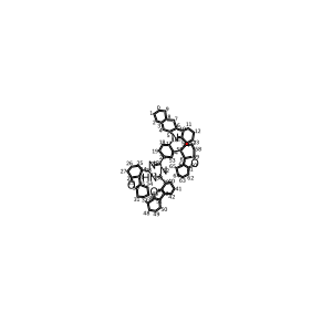 c1ccc2cc3c(cc2c1)c1ccccc1n3-c1ccc(C2=NC(c3cccc4oc5ccccc5c34)NC(c3cccc4c3oc3ccccc34)=N2)cc1-c1cccc2oc3ccccc3c12